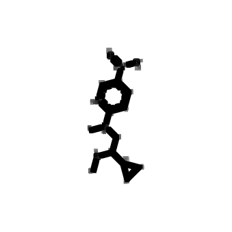 COC(CN(C)c1ccc([N+](=O)[O-])cn1)C1CC1